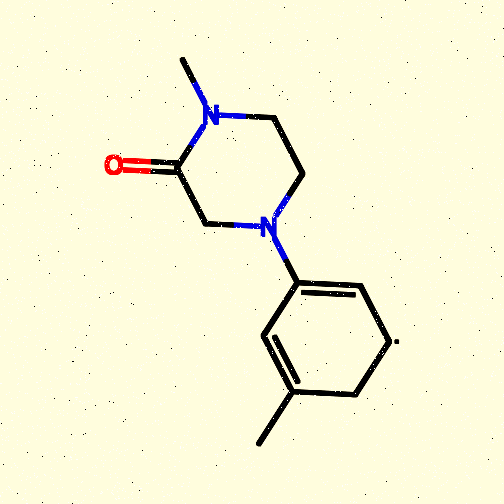 CC1=CC(N2CCN(C)C(=O)C2)=C[CH]C1